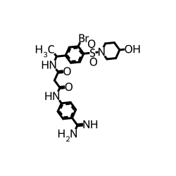 CC(NC(=O)CC(=O)Nc1ccc(C(=N)N)cc1)c1ccc(S(=O)(=O)N2CCC(O)CC2)c(Br)c1